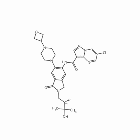 CC(C)(O)[C@H](F)CN1Cc2cc(NC(=O)c3cnn4cc(Cl)cnc34)c(N3CCN(C4COC4)CC3)cc2C1=O